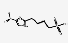 O=[N+]([O-])c1c[nH]c(CCCCS(=O)(=O)O)n1